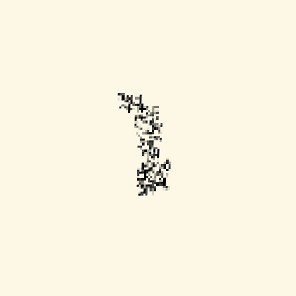 COc1cc(Cn2ncc3c(-c4cccc(-c5cc(F)c(CNCC6CCC(=O)N6)c(OC)c5)c4Cl)cccc32)c(C(F)(F)F)cc1CN(C)N1CC(C(=O)O)C1